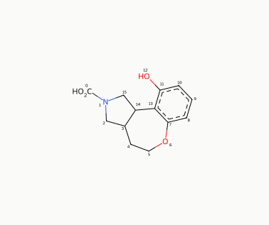 O=C(O)N1CC2CCOc3cccc(O)c3C2C1